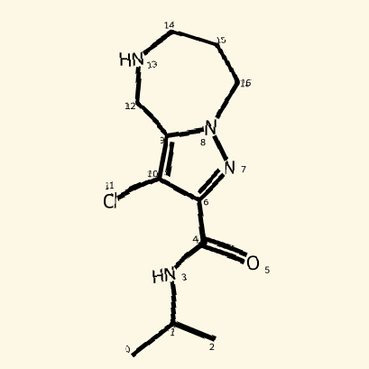 CC(C)NC(=O)c1nn2c(c1Cl)CNCCC2